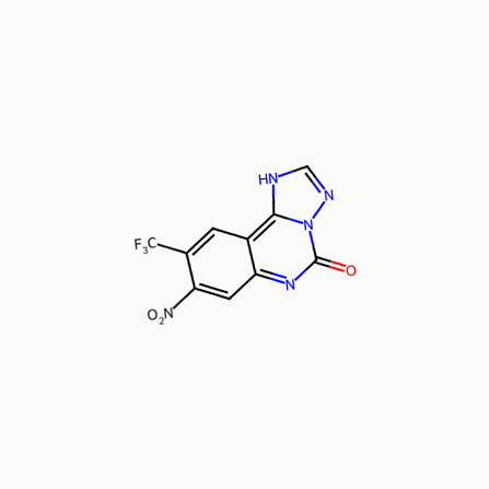 O=c1nc2cc([N+](=O)[O-])c(C(F)(F)F)cc2c2[nH]cnn12